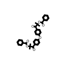 CC(C)(OC(=O)c1ccccc1)C(=O)c1ccc(Oc2ccc(C(=O)C(C)(C)OC(=O)c3ccccc3)cc2)cc1